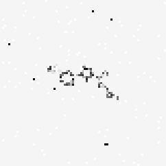 CCOC(=O)c1cnc(-c2cc(C)ccn2)s1